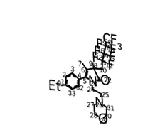 CCc1ccc(C2=C(C)C(C)(CC(F)(F)C(F)(F)C(F)(F)C(F)(F)F)C(=O)N2CCN2CCOCC2)cc1